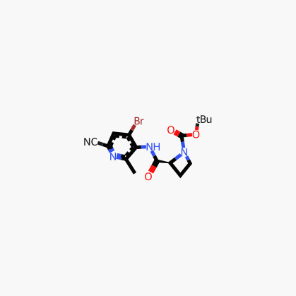 Cc1nc(C#N)cc(Br)c1NC(=O)[C@@H]1CCN1C(=O)OC(C)(C)C